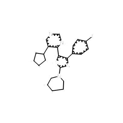 Fc1ccc(-c2nc(N3CCCCC3)sc2-c2n[c]ncc2C2CCCC2)cc1